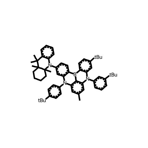 Cc1cc2c3c(c1)N(c1cccc(C(C)(C)C)c1)c1cc(C(C)(C)C)ccc1B3c1ccc(N3c4ccccc4C(C)(C)C4(C)CCCCC34C)cc1N2c1ccc(C(C)(C)C)cc1